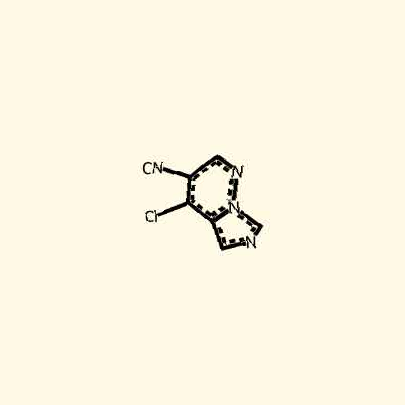 [C-]#[N+]c1cnn2cncc2c1Cl